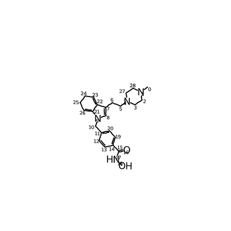 CN1CCN(CCc2cn(Cc3ccc(C(=O)NO)cc3)c3c2=CCCC=3)CC1